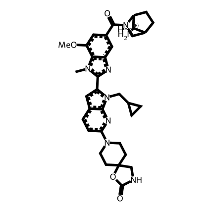 COc1cc(C(=O)N2CC3CCC2[C@@H]3N)cc2nc(-c3cc4ccc(N5CCC6(CC5)CNC(=O)O6)nc4n3CC3CC3)n(C)c12